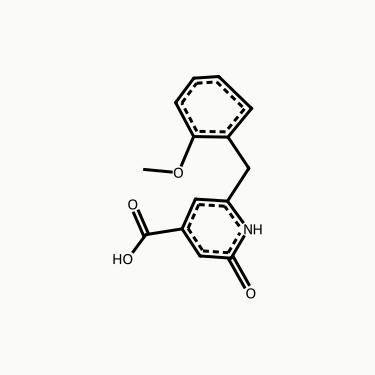 COc1ccccc1Cc1cc(C(=O)O)cc(=O)[nH]1